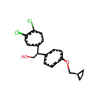 OCC(c1ccc(OCC2CC2)cc1)c1ccc(Cl)c(Cl)c1